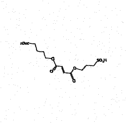 CCCCCCCCCCCCCCOC(=O)C=CC(=O)OCCCS(=O)(=O)O